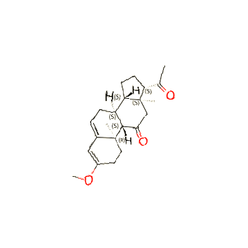 COC1=CC2=CC[C@H]3[C@@H]4CC[C@H](C(C)=O)[C@@]4(C)CC(=O)[C@@H]3[C@@]2(C)CC1